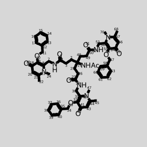 CC(=O)NC(CCC(=O)NCc1c(OCc2ccccc2)c(=O)cc(C)n1C)(CCC(=O)NCc1c(OCc2ccccc2)c(=O)cc(C)n1C)CCC(=O)NCc1c(OCc2ccccc2)c(=O)cc(C)n1C